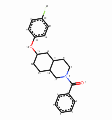 O=C(c1ccccc1)N1CCC2CC(Oc3ccc(F)cc3)CCC2C1